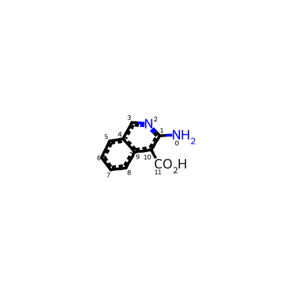 Nc1ncc2ccccc2c1C(=O)O